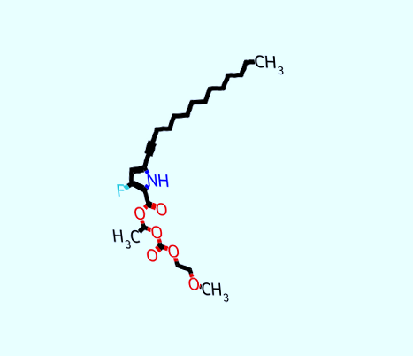 CCCCCCCCCCCCC#Cc1cc(F)c(C(=O)OC(C)OC(=O)OCCOC)[nH]1